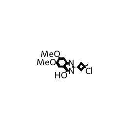 COc1cc2nc([C@H]3C[C@@](C)(Cl)C3)nc(O)c2cc1OC